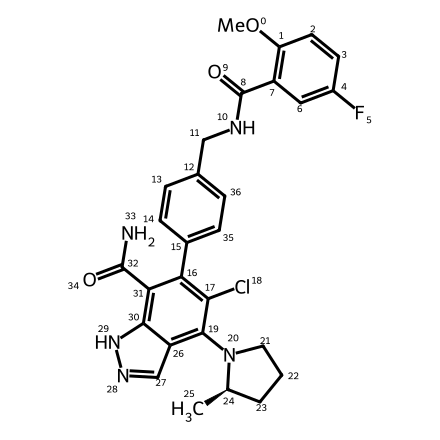 COc1ccc(F)cc1C(=O)NCc1ccc(-c2c(Cl)c(N3CCC[C@H]3C)c3cn[nH]c3c2C(N)=O)cc1